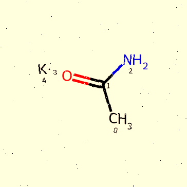 CC(N)=O.[K]